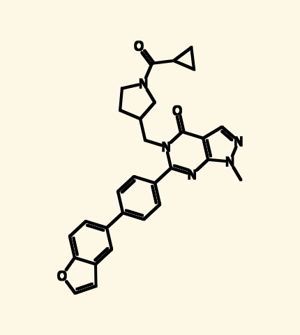 Cn1ncc2c(=O)n(CC3CCN(C(=O)C4CC4)C3)c(-c3ccc(-c4ccc5occc5c4)cc3)nc21